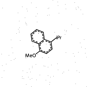 COc1ccc(C(C)C)c2ccccc12